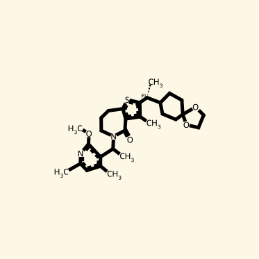 COc1nc(C)cc(C)c1C(C)N1CCCc2sc([C@H](C)C3CCC4(CC3)OCCO4)c(C)c2C1=O